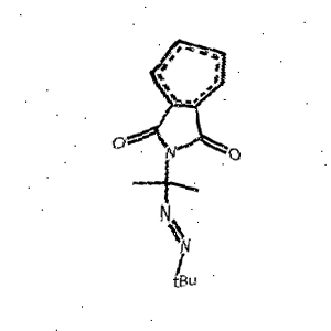 CC(C)(C)N=NC(C)(C)N1C(=O)c2ccccc2C1=O